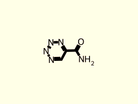 NC(=O)c1cnnnn1